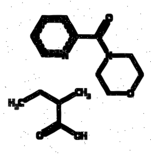 CCC(C)C(=O)O.O=C(c1ccccn1)N1CCOCC1